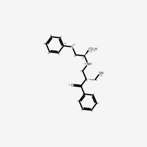 O=C(c1ccccc1)[C@@H](CS)CN[C@@H](CSc1ccccc1)C(=O)O